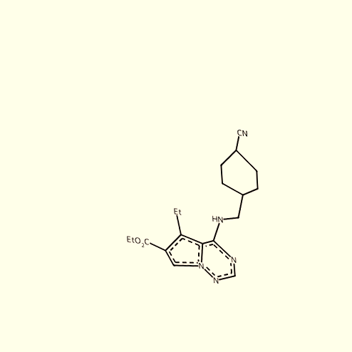 CCOC(=O)c1cn2ncnc(NCC3CCC(C#N)CC3)c2c1CC